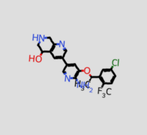 C[C@@H](Oc1cc(-c2cnc3c(c2)C(O)CNC3)cnc1N)c1cc(Cl)ccc1C(F)(F)F